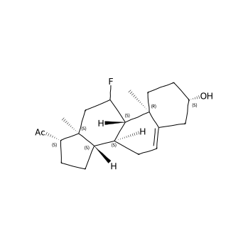 CC(=O)[C@H]1CC[C@H]2[C@@H]3CC=C4C[C@@H](O)CC[C@]4(C)[C@H]3C(F)C[C@]12C